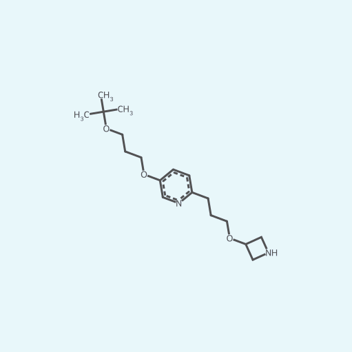 CC(C)(C)OCCCOc1ccc(CCCOC2CNC2)nc1